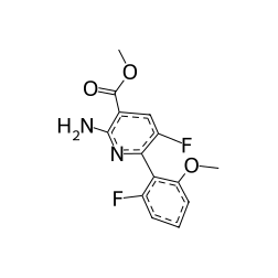 COC(=O)c1cc(F)c(-c2c(F)cccc2OC)nc1N